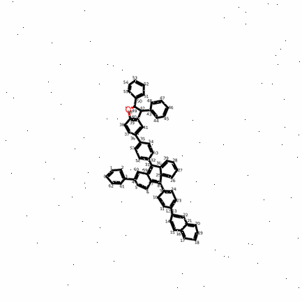 c1ccc(-c2ccc3c(-c4ccc(-c5ccc6ccccc6c5)cc4)c4ccccc4c(-c4ccc(-c5ccc6c(c5)C(c5ccccc5)C(c5ccccc5)O6)cc4)c3c2)cc1